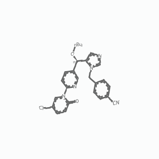 CCCCO[C@H](c1ccc(-n2cc(Cl)ccc2=O)nc1)c1cncn1Cc1ccc(C#N)cc1